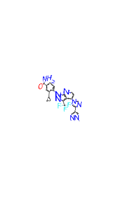 Cn1cc(-c2cn(-c3ccnc4c3c(C(F)(F)F)nn4-c3ccc(C(N)=O)cc3C3CC3)cn2)cn1